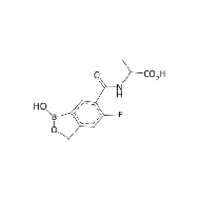 CC(NC(=O)c1cc2c(cc1F)COB2O)C(=O)O